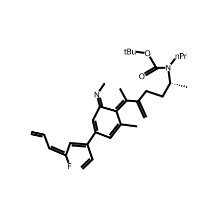 C=C/C=C(F)\C=C(/C=C)C1=CC(=N/C)/C(=C(\C)C(=C)CC[C@@H](C)N(CCC)C(=O)OC(C)(C)C)C(C)=C1